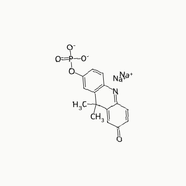 CC1(C)C2=CC(=O)C=CC2=Nc2ccc(OP(=O)([O-])[O-])cc21.[Na+].[Na+]